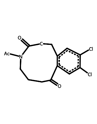 CC(=O)N1CCCC(=O)c2cc(Cl)c(Cl)cc2CCC1=O